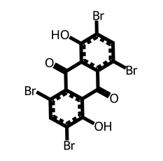 O=C1c2c(Br)cc(Br)c(O)c2C(=O)c2c(Br)cc(Br)c(O)c21